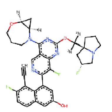 [2H]C([2H])(Oc1nc(N2CCCO[C@H]3C[C@H]32)c2cnc(-c3cc(O)cc4ccc(F)c(C#C)c34)c(F)c2n1)[C@@]12CCCN1C[C@H](F)C2